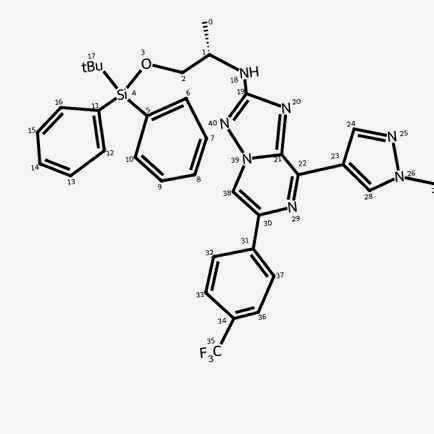 C[C@@H](CO[Si](c1ccccc1)(c1ccccc1)C(C)(C)C)Nc1nc2c(-c3cnn(C)c3)nc(-c3ccc(C(F)(F)F)cc3)cn2n1